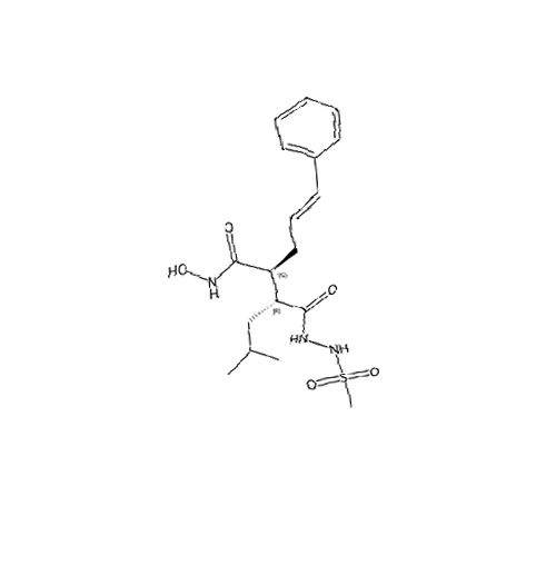 CC(C)C[C@@H](C(=O)NNS(C)(=O)=O)[C@H](CC=Cc1ccccc1)C(=O)NO